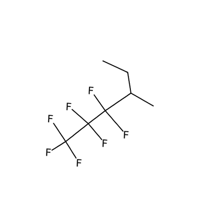 CCC(C)C(F)(F)C(F)(F)C(F)(F)F